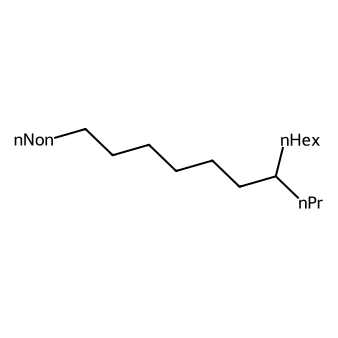 [CH2]CCC(CCCCCC)CCCCCCCCCCCCCCC